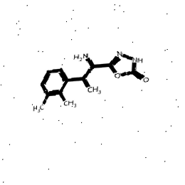 Cc1cccc(C(C)C(N)c2n[nH]c(=O)o2)c1C